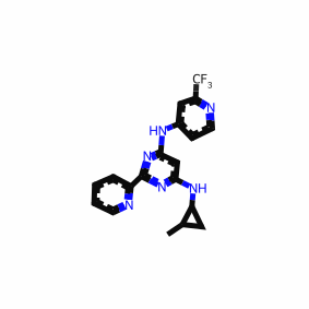 CC1CC1Nc1cc(Nc2ccnc(C(F)(F)F)c2)nc(-c2ccccn2)n1